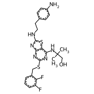 CC(C)(CO)Nc1nc(SCc2cccc(F)c2F)nc2nc(NCCc3ccc(N)cc3)sc12